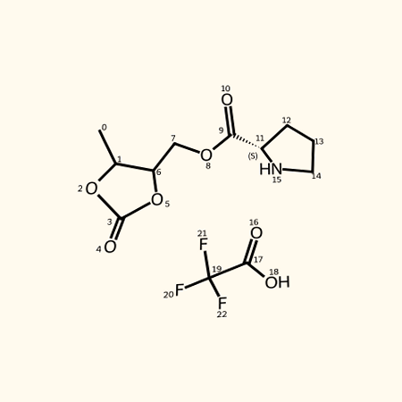 CC1OC(=O)OC1COC(=O)[C@@H]1CCCN1.O=C(O)C(F)(F)F